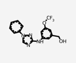 OCc1cc(Nc2ncn(-c3ccccc3)n2)cc(OC(F)(F)F)c1